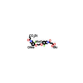 CCOC(=O)CCC(=O)N1Cc2cc(OC)c(OCCCOc3c(OC)cc4c(c3F)CN(C(=O)CCC(=O)OC(C)(C)C)C4)c(F)c2C1